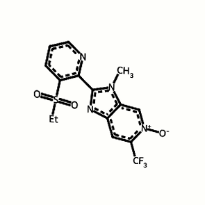 CCS(=O)(=O)c1cccnc1-c1nc2cc(C(F)(F)F)[n+]([O-])cc2n1C